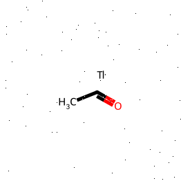 CC=O.[Tl]